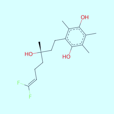 Cc1c(C)c(O)c(CC[C@@](C)(O)CCC=C(F)F)c(C)c1O